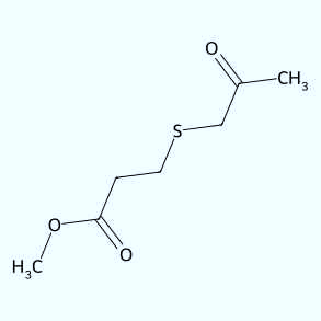 COC(=O)CCSCC(C)=O